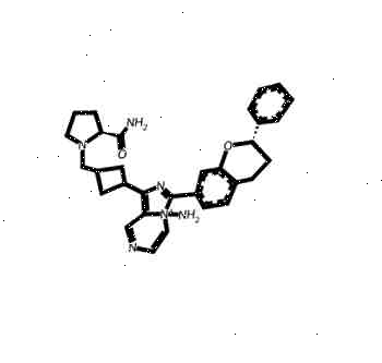 NC(=O)[C@@H]1CCCN1CC1CC(C2=C3C=NC=C[N+]3(N)C(c3ccc4c(c3)O[C@H](c3ccccc3)CC4)=N2)C1